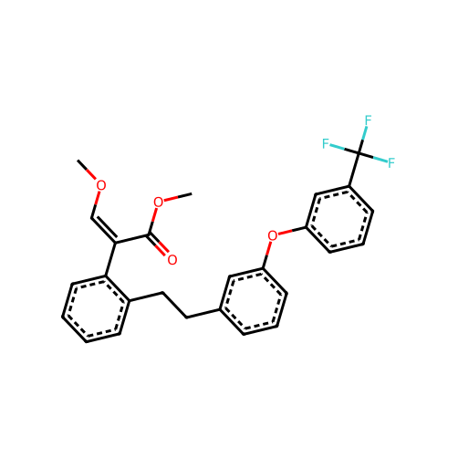 COC=C(C(=O)OC)c1ccccc1CCc1cccc(Oc2cccc(C(F)(F)F)c2)c1